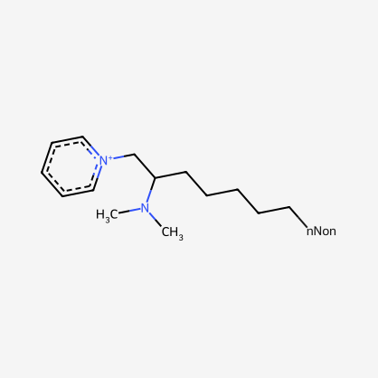 CCCCCCCCCCCCCCC(C[n+]1ccccc1)N(C)C